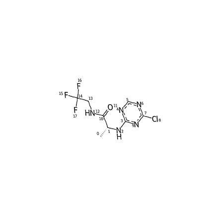 C[C@@H](Nc1ncnc(Cl)n1)C(=O)NCC(F)(F)F